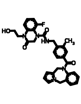 Cc1cc(C(=O)N2Cc3cccn3Cc3ccccc32)ccc1CNC(=O)N1CC(=O)N(CCO)c2cccc(F)c21